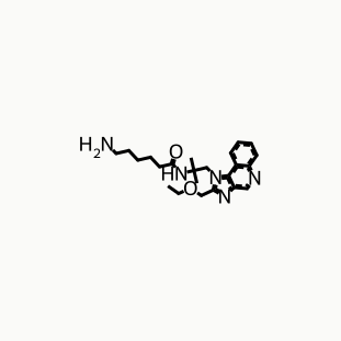 CCOCc1nc2cnc3ccccc3c2n1CC(C)(C)NC(=O)CCCCCN